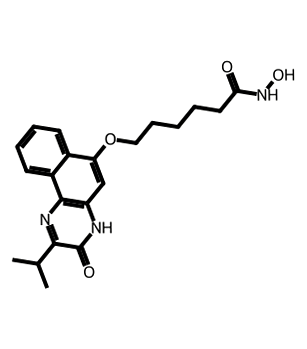 CC(C)c1nc2c(cc(OCCCCCC(=O)NO)c3ccccc32)[nH]c1=O